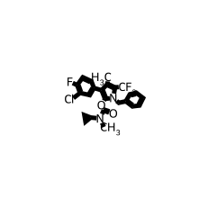 Cc1c(-c2ccc(F)c(Cl)c2)c(OC(=O)N(C)C2CC2)n(Cc2ccccc2)c1C(F)(F)F